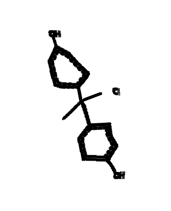 CC(C)(c1ccc(O)cc1)c1ccc(O)cc1.[C]